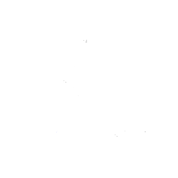 Cc1cc(CN(CC(=O)C2CNCCO2)C2CC2)ccc1/C(Cl)=C\CCCCCNC(=O)CO